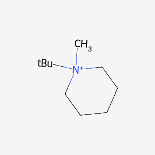 CC(C)(C)[N+]1(C)CCCCC1